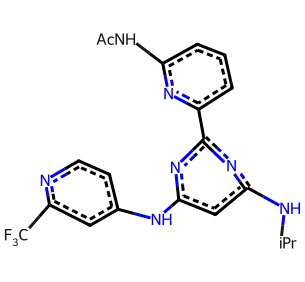 CC(=O)Nc1cccc(-c2nc(Nc3ccnc(C(F)(F)F)c3)cc(NC(C)C)n2)n1